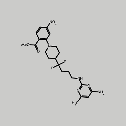 COC(=O)c1ccc([N+](=O)[O-])cc1N1CCC(C(F)(F)CCCNc2nc(C)cc(N)n2)CC1